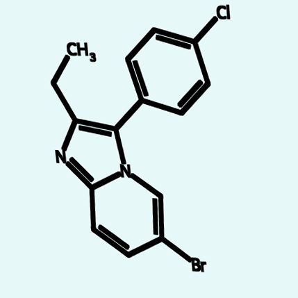 CCc1nc2ccc(Br)cn2c1-c1ccc(Cl)cc1